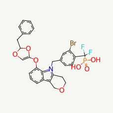 O=P(O)(O)C(F)(F)c1ccc(Cn2c3c(c4cccc(OC5=COC(Cc6ccccc6)O5)c42)COCC3)cc1Br